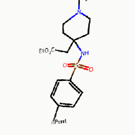 CCCCCc1ccc(S(=O)(=O)NC2(CC(=O)OCC)CCN(C)CC2)cc1